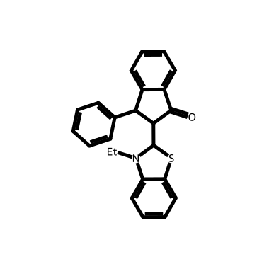 CCN1c2ccccc2SC1C1C(=O)c2ccccc2C1c1ccccc1